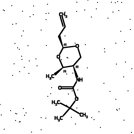 C=CC[C@H]1OC[C@@H](NC(=O)OC(C)(C)C)[C@@H](C)O1